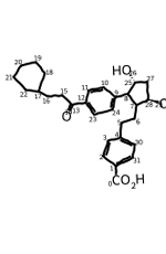 O=C(O)c1ccc(CCC2C(c3ccc(C(=O)CCC4CCCCC4)cc3)[C@H](O)C[C@H]2Cl)cc1